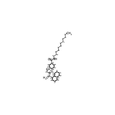 CCCCCCCCCCCCNC(=O)c1ccc(CN(CC)C(C)c2cccc3ccccc23)cc1